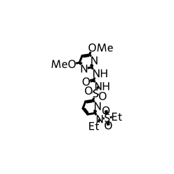 CCN(c1cccc(S(=O)(=O)NC(=O)Nc2nc(OC)cc(OC)n2)n1)S(=O)(=O)CC